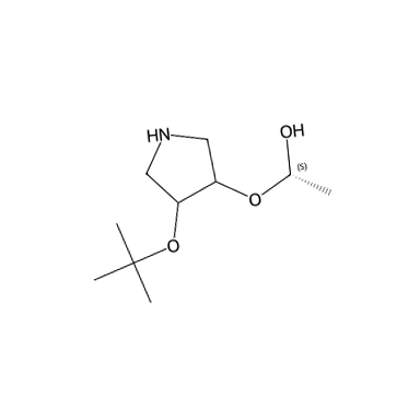 C[C@@H](O)OC1CNCC1OC(C)(C)C